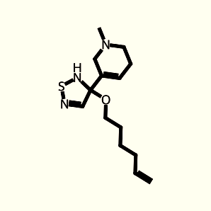 C=CCCCCOC1(C2=CCCN(C)C2)C=NSN1